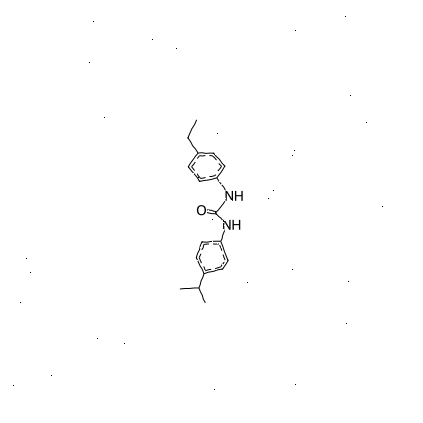 CCc1ccc(NC(=O)Nc2ccc(C(C)C)cc2)cc1